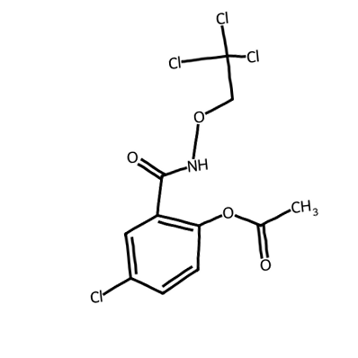 CC(=O)Oc1ccc(Cl)cc1C(=O)NOCC(Cl)(Cl)Cl